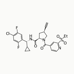 C#C[C@@H]1C[C@H](C(=O)N[C@@H](c2cc(F)c(Cl)cc2F)C2CC2)N(C(=O)c2ccnc(S(=O)(=O)CC)c2)C1